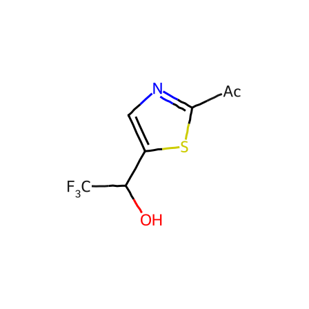 CC(=O)c1ncc(C(O)C(F)(F)F)s1